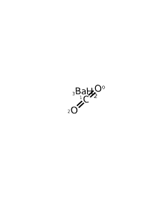 O=C=O.[BaH2]